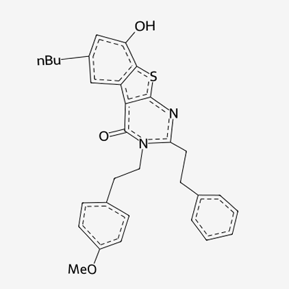 CCCCc1cc(O)c2sc3nc(CCc4ccccc4)n(CCc4ccc(OC)cc4)c(=O)c3c2c1